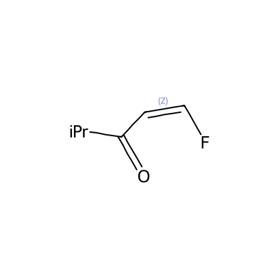 CC(C)C(=O)/C=C\F